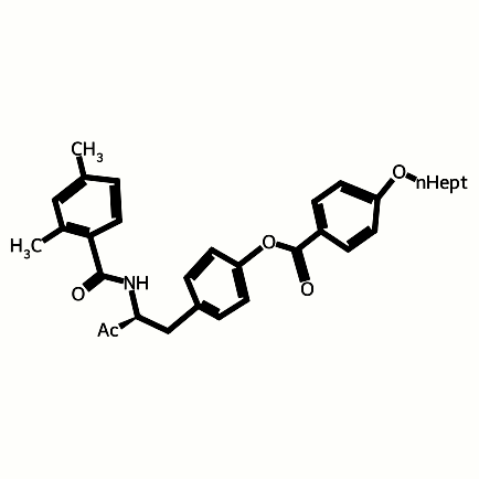 CCCCCCCOc1ccc(C(=O)Oc2ccc(C[C@H](NC(=O)c3ccc(C)cc3C)C(C)=O)cc2)cc1